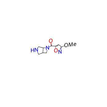 COc1cc(C(=O)N2CC3CNCC32)on1